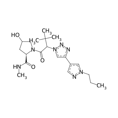 CCCn1cc(-c2cn(C(C(=O)N3CC(O)C[C@@H]3C(=O)NC)C(C)(C)C)nn2)cn1